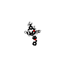 O.O.O=C1COC(CC[N+]23CCC(Cc4ccccc4)(CC2)CC3)(c2ccc(F)c(F)c2)CN1Cc1cc(C(F)(F)F)cc(C(F)(F)F)c1.[Cl-]